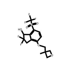 CC1(COc2ccc(S(=O)(=O)C(F)(F)F)c3c2CC(F)(F)C3O)COC1